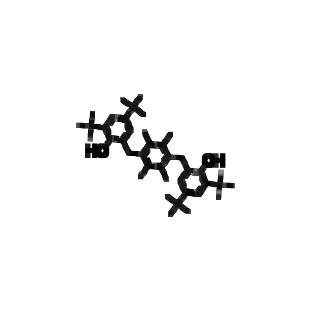 Cc1c(C)c(Cc2cc(C(C)(C)C)cc(C(C)(C)C)c2O)c(C)c(C)c1Cc1cc(C(C)(C)C)cc(C(C)(C)C)c1O